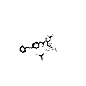 CC(=O)O.C[N+](C)(C)CC(CC(=O)[O-])NC(=O)Nc1ccc(OCc2ccccc2)cc1